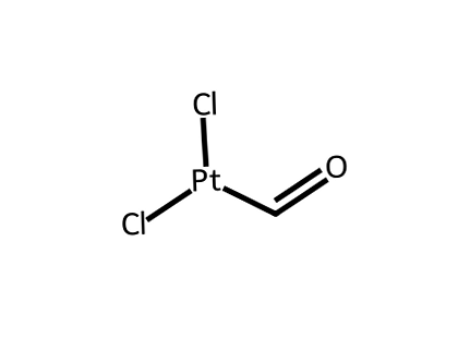 O=[CH][Pt]([Cl])[Cl]